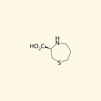 O=C(O)[C@@H]1CSCCCN1